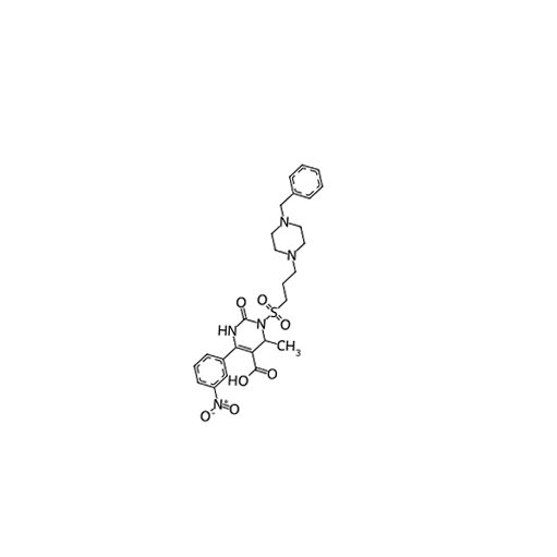 CC1C(C(=O)O)=C(c2cccc([N+](=O)[O-])c2)NC(=O)N1S(=O)(=O)CCCN1CCN(Cc2ccccc2)CC1